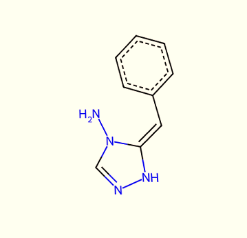 NN1C=NNC1=Cc1ccccc1